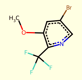 COc1cc(Br)cnc1C(F)(F)F